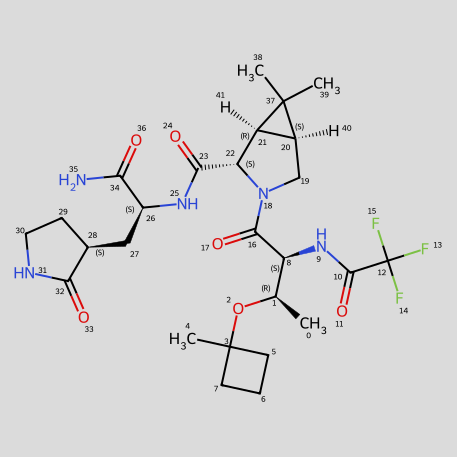 C[C@@H](OC1(C)CCC1)[C@H](NC(=O)C(F)(F)F)C(=O)N1C[C@H]2[C@@H]([C@H]1C(=O)N[C@@H](C[C@@H]1CCNC1=O)C(N)=O)C2(C)C